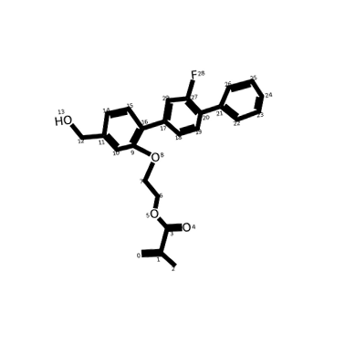 C=C(C)C(=O)OCCOc1cc(CO)ccc1-c1ccc(-c2ccccc2)c(F)c1